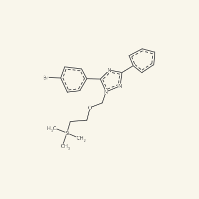 C[Si](C)(C)CCOCn1nc(-c2ccccc2)nc1-c1ccc(Br)cc1